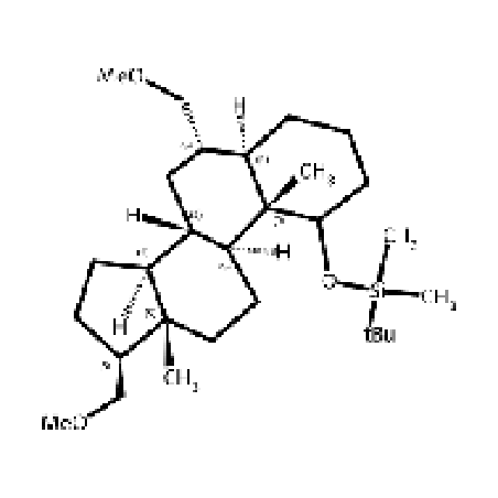 COC[C@H]1C[C@H]2[C@@H]3CC[C@H](COC)[C@@]3(C)CC[C@@H]2[C@@]2(C)C(O[Si](C)(C)C(C)(C)C)CCC[C@H]12